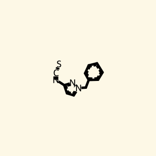 S=C=Nc1ccn(Cc2ccccc2)n1